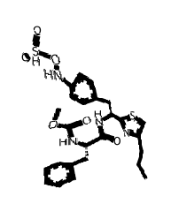 CCCc1csc([C@H](Cc2ccc(NO[SH](=O)=O)cc2)NC(=O)[C@H](Cc2ccccc2)NC(=O)OC)n1